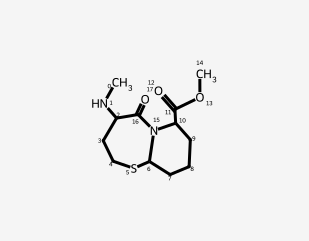 CNC1CCSC2CCCC(C(=O)OC)N2C1=O